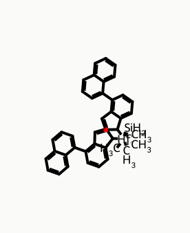 [CH3][Hf]([CH3])([CH3])([CH3])(=[SiH2])([CH]1C=Cc2c(-c3cccc4ccccc34)cccc21)[CH]1C=Cc2c(-c3cccc4ccccc34)cccc21